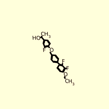 CCOc1ccc(-c2ccc(COc3ccc(C(C)O)cc3F)cc2)c(F)c1F